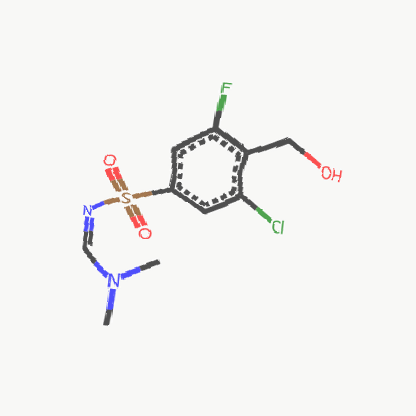 CN(C)/C=N\S(=O)(=O)c1cc(F)c(CO)c(Cl)c1